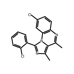 Cc1nc(-c2ccccc2Cl)n2c1c(C)nc1ccc(Cl)cc12